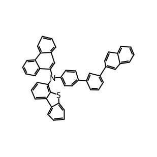 c1cc(-c2ccc(N(c3cc4ccccc4c4ccccc34)c3cccc4c3sc3ccccc34)cc2)cc(-c2ccc3ccccc3c2)c1